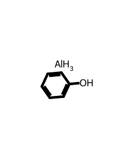 Oc1ccccc1.[AlH3]